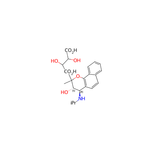 CC(C)N[C@@H]1c2ccc3ccccc3c2OC(C)(C)[C@H]1O.O=C(O)C(O)C(O)C(=O)O